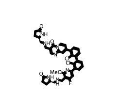 COc1nc(-c2cccc(-c3cccc(-c4ccn5c(=O)c(CNC[C@H]6CCC(=O)N6)cnc5c4)c3Cl)c2Cl)cc(F)c1CNC[C@H]1CCC(=O)N1